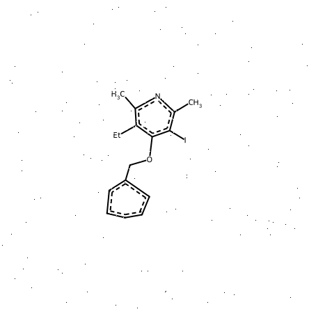 CCc1c(C)nc(C)c(I)c1OCc1ccccc1